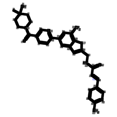 CC1(O)CCN(C(=O)c2ccc(-c3cc(C(F)(F)F)c4sc(CNC(=O)/C=C/c5ccc(N)nc5)cc4c3)nc2)CC1